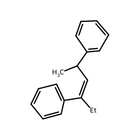 CCC(=CC(C)c1ccccc1)c1ccccc1